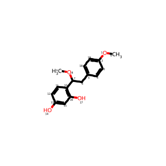 COc1ccc(CC(OC)c2ccc(O)cc2O)cc1